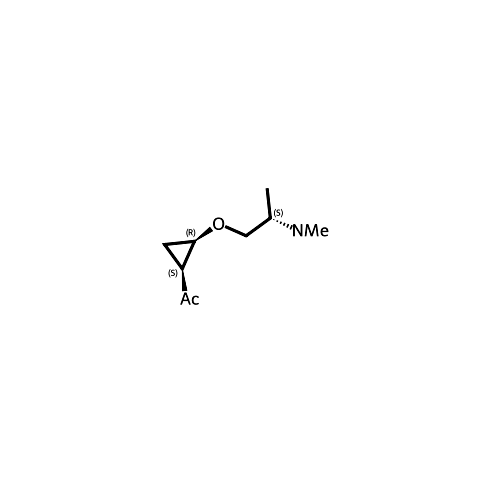 CN[C@@H](C)CO[C@@H]1C[C@@H]1C(C)=O